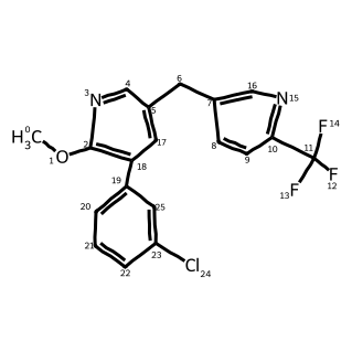 COc1ncc(Cc2ccc(C(F)(F)F)nc2)cc1-c1cccc(Cl)c1